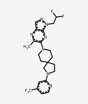 Cc1nc2cnn(CC(F)F)c2nc1N1CCC2(CCN(c3cc(C(F)(F)F)ccn3)C2)CC1